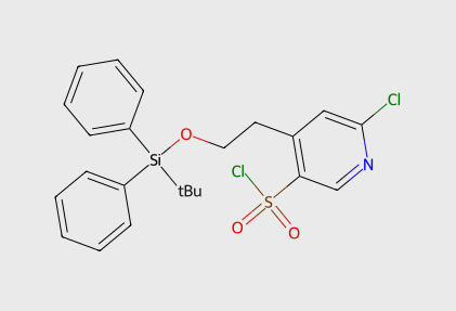 CC(C)(C)[Si](OCCc1cc(Cl)ncc1S(=O)(=O)Cl)(c1ccccc1)c1ccccc1